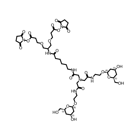 O=C(CN(CC(=O)NCCO[C@H]1C[C@@H](O)C[C@@H](CO)O1)CC(=O)NCCO[C@H]1C[C@@H](O)C[C@@H](CO)O1)NCCCCCC(=O)NC(COCCC(=O)ON1C(=O)CCC1=O)COCCC(=O)ON1C(=O)CCC1=O